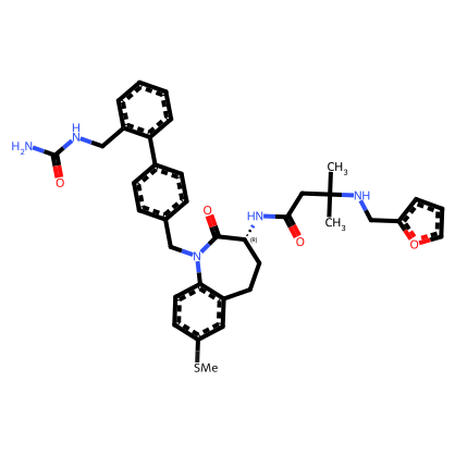 CSc1ccc2c(c1)CC[C@@H](NC(=O)CC(C)(C)NCc1ccco1)C(=O)N2Cc1ccc(-c2ccccc2CNC(N)=O)cc1